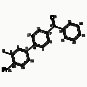 Cc1cc(-c2ccc(C(=O)c3ccccc3)cc2)ccc1C(C)C